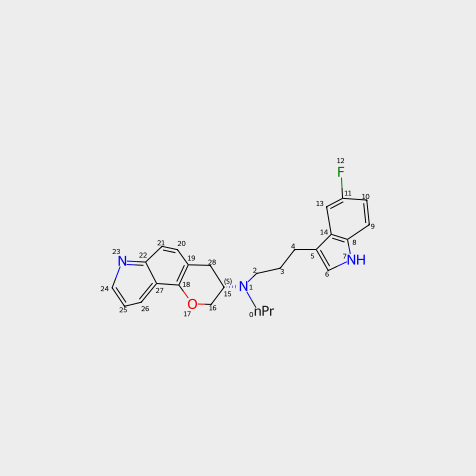 CCCN(CCCc1c[nH]c2ccc(F)cc12)[C@@H]1COc2c(ccc3ncccc23)C1